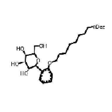 CCCCCCCCCCCCCCCCCCOc1ccccc1[C]1O[C@H](CO)[C@H](O)[C@H](O)[C@H]1O